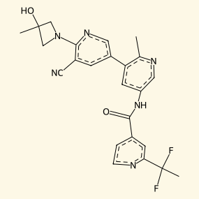 Cc1ncc(NC(=O)c2ccnc(C(C)(F)F)c2)cc1-c1cnc(N2CC(C)(O)C2)c(C#N)c1